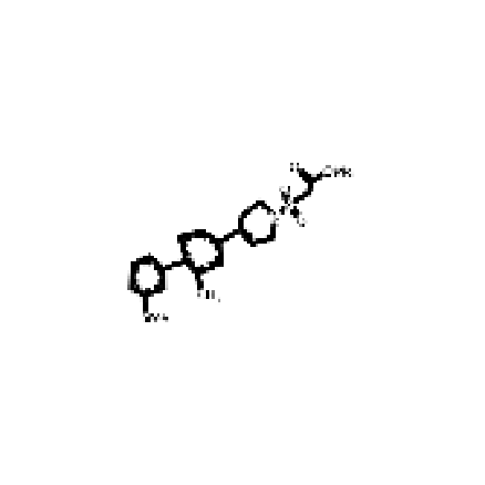 COC(=O)CS(=O)(=O)N1CC=C(c2ccc(-c3cccc(SC)c3)c(C)c2)CC1